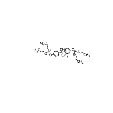 C=CCOP(OCC=C)Oc1ccc(C(C)(C)c2ccc(OP(OCC=C)OCC=C)cc2)cc1